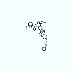 C[SH]1C(C2CCC(COCc3ccccc3)CC2)=Nc2cc(C(=O)O)c(NC(=O)c3cccc(C(C)(F)F)n3)cc21